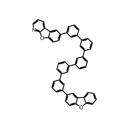 c1cc(-c2cccc(-c3cccc(-c4ccc5oc6ccccc6c5c4)c3)c2)cc(-c2cccc(-c3cccc(-c4ccc5oc6ncccc6c5c4)c3)c2)c1